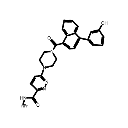 CCCNC(=O)c1ccc(N2CCN(C(=O)c3ccc(-c4cccc(O)c4)c4ccccc34)CC2)nn1